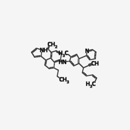 C#CC(/C=C\C=C/C)c1cc(Nc2ccc(C=C)c3c(-c4ccc[nH]4)ccc(CCC)c23)c(C)cc1-c1ccccn1